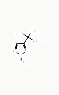 CCCCCCC(C)(CCCC)c1cnn(C)n1